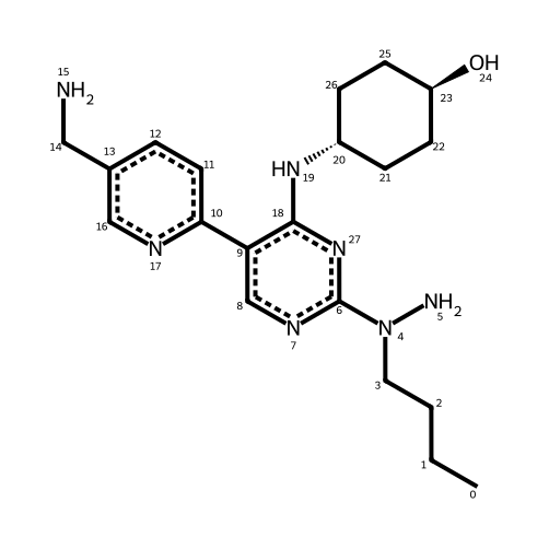 CCCCN(N)c1ncc(-c2ccc(CN)cn2)c(N[C@H]2CC[C@H](O)CC2)n1